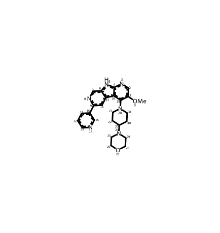 COc1cnc2[nH]c3cnc(-c4cccnc4)cc3c2c1N1CCC(N2CCOCC2)CC1